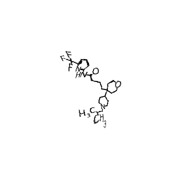 CC(C)CN1CCC(C2(CCCC(=O)Nc3cccc(C(F)(F)F)n3)CCOCC2)CC1